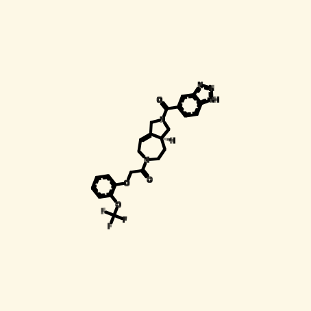 O=C(COc1ccccc1OC(F)(F)F)N1CC=C2CN(C(=O)c3ccc4[nH]nnc4c3)C[C@H]2CC1